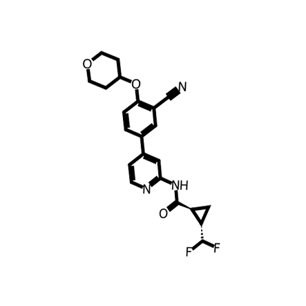 N#Cc1cc(-c2ccnc(NC(=O)[C@H]3C[C@@H]3C(F)F)c2)ccc1OC1CCOCC1